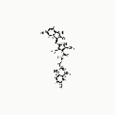 Cc1[nH]c(/C=C2\C(=O)Nc3ccc(F)cc32)c(C)c1C(=O)NCCC(=O)Nc1ccc(F)cc1N